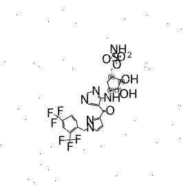 NS(=O)(=O)OC[C@H]1C[C@@H](Nc2ncncc2C(=O)c2ccn(Cc3ccc(C(F)(F)F)cc3C(F)(F)F)n2)[C@H](O)[C@@H]1O